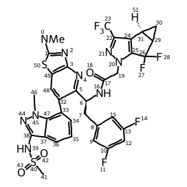 CNc1nc2nc([C@H](Cc3cc(F)cc(F)c3)NC(=O)Cn3nc(C(F)(F)F)c4c3C(F)(F)C3C[C@H]43)c(-c3cccc4c(NS(C)(=O)=O)nn(C)c34)cc2s1